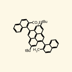 CCOC(=O)c1ccc2ccccc2c1-c1cc2cc(C(C)(C)C)cc3c(-c4c(C)ccc5ccccc45)cc4cc(C(C)(C)C)cc1c4c23